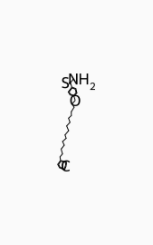 NC(=S)c1ccc(OCCCCCCCCCCCCCCCc2ccccc2)cc1